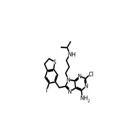 CC(C)NCCCn1c(Cc2cc3c(cc2I)CCS3)nc2c(N)nc(Cl)nc21